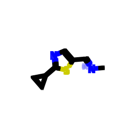 C/N=C/c1cnc(C2CC2)s1